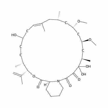 C=C(C)[C@H]1OC(=O)[C@@H]2CCCCN2C(=O)C(=O)C(O)(O)[C@H](C)C[C@H](OC)C[C@@H](OC)C[C@@H](C)C/C(C)=C/CC(O)CC[C@H]1C